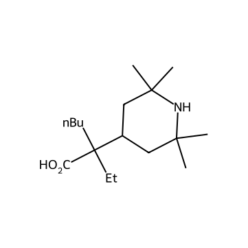 CCCCC(CC)(C(=O)O)C1CC(C)(C)NC(C)(C)C1